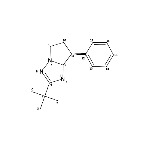 CC(C)(C)c1nc2n(n1)CC[C@H]2c1ccccc1